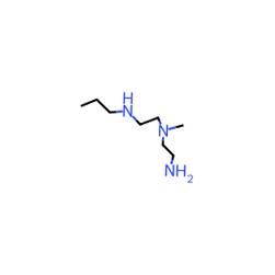 CCCNCCN(C)CCN